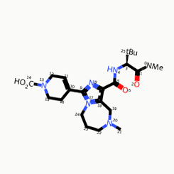 CNC(=O)[C@@H](NC(=O)c1nc(C2=CCN(C(=O)O)CC2)n2c1CN(C)CCC2)C(C)(C)C